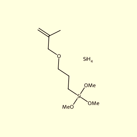 C=C(C)COCCC[Si](OC)(OC)OC.[SiH4]